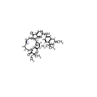 CN1Cc2cc(Nc3ncc4c(=O)n5n(c4n3)-c3ccc4c(n3)N(CCC/C=C/C5)C(=O)C(C)(C)O4)ccc2C(C)(C)C1